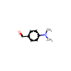 CN(C)c1ccc([C]=O)cc1